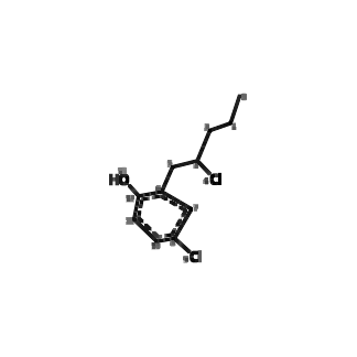 CCCC(Cl)Cc1cc(Cl)ccc1O